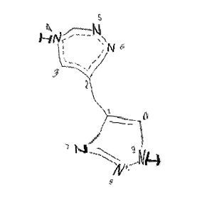 C1=C(c2c[nH]nn2)N=[N+]N1